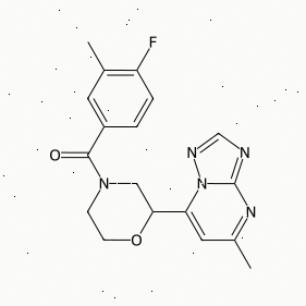 Cc1cc(C2CN(C(=O)c3ccc(F)c(C)c3)CCO2)n2ncnc2n1